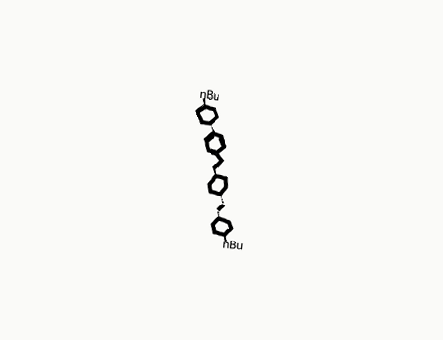 CCCC[C@H]1CC[C@H](CC[C@H]2CC[C@H](CCc3ccc([C@H]4CC[C@H](CCCC)CC4)cc3)CC2)CC1